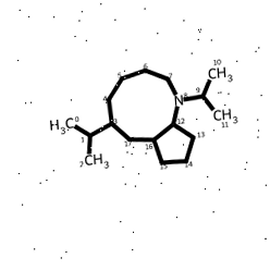 CC(C)C1CCCCN(C(C)C)C2CCCC2C1